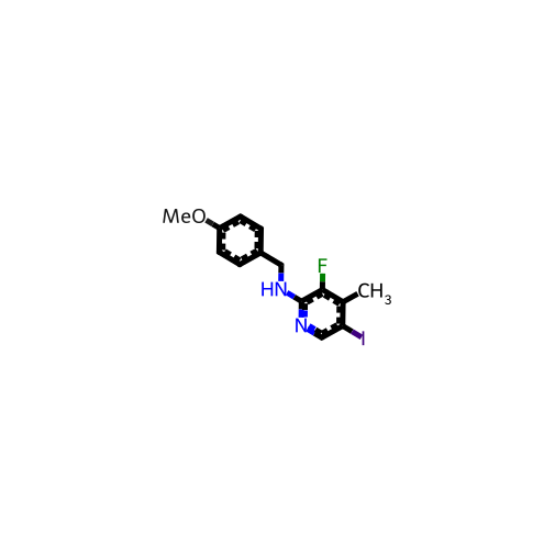 COc1ccc(CNc2ncc(I)c(C)c2F)cc1